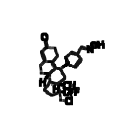 C[C@]12C[C@H](c3ccc(C=NO)cc3)C3=C4CCC(=O)C=C4CC[C@H]3[C@@H]1CC[C@@]2(O)CCl